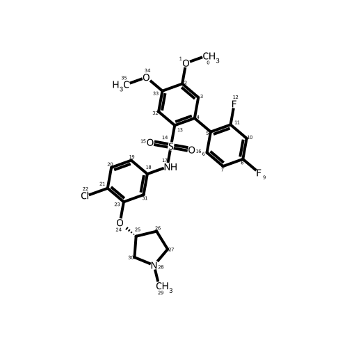 COc1cc(-c2ccc(F)cc2F)c(S(=O)(=O)Nc2ccc(Cl)c(O[C@@H]3CCN(C)C3)c2)cc1OC